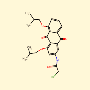 CC(C)COc1cccc2c1C(=O)c1c(OCC(C)C)cc(NC(=O)CBr)cc1C2=O